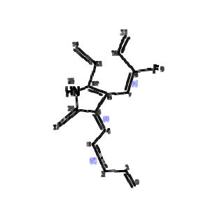 C=C/C=C\C=c1\c(/C=C(/F)C=C)c(C=C)[nH]c1=C